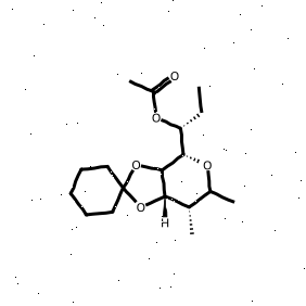 CC[C@@H](OC(C)=O)[C@@H]1OC(C)[C@H](C)[C@@H]2OC3(CCCCC3)OC12